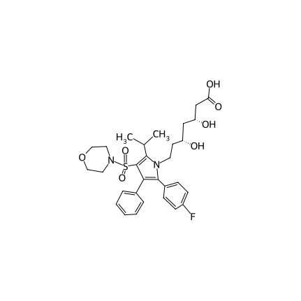 CC(C)c1c(S(=O)(=O)N2CCOCC2)c(-c2ccccc2)c(-c2ccc(F)cc2)n1CC[C@@H](O)C[C@@H](O)CC(=O)O